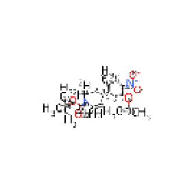 [2H]C1([2H])CC(c2cc(OC(C)C)c([N+](=O)[O-])cc2C)CC([2H])([2H])N1C(=O)OC(C)(C)C